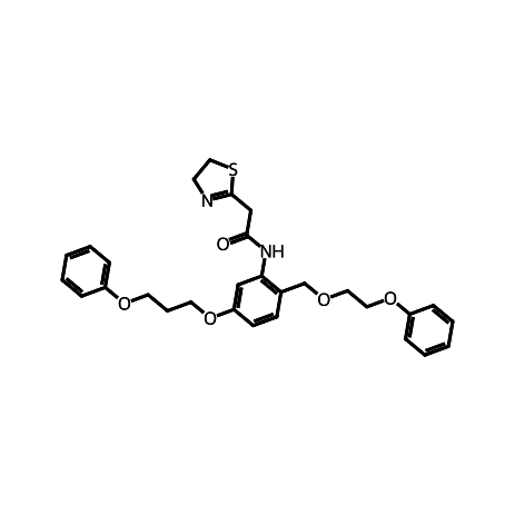 O=C(CC1=NCCS1)Nc1cc(OCCCOc2ccccc2)ccc1COCCOc1ccccc1